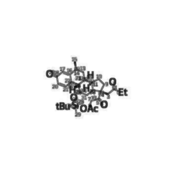 CCC(=O)C[C@]1(C(=O)COC(C)=O)CC[C@H]2[C@@H]3C[C@H](C)C4=CC(=O)C=C[C@]4(C)[C@H]3[C@@H](O[Si](C)(C)C(C)(C)C)C[C@@]21C